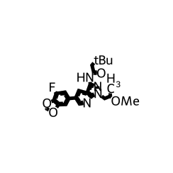 COC(C)Cn1nc(NC(=O)CC(C)(C)C)c2cc(-c3cc(F)c4c(c3)OCO4)cnc21